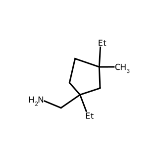 CCC1(C)CCC(CC)(CN)C1